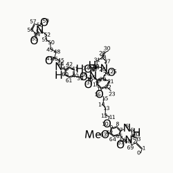 CC=C1C[C@H]2C=Nc3cc(OCCCCCOc4cc5c(cc4C)C(=O)N4CC(=CC)C[C@H]4[C@H](O)N5C(=O)OCc4ccc(NCC(=O)CCCCCN5C(=O)C=CC5=O)cc4)c(OC)cc3C(=O)N2C1